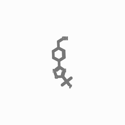 CC(C)(F)c1nc(C2C=CC(CO)CC2)no1